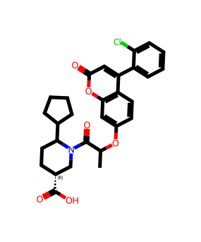 CC(Oc1ccc2c(-c3ccccc3Cl)cc(=O)oc2c1)C(=O)N1C[C@H](C(=O)O)CCC1C1CCCC1